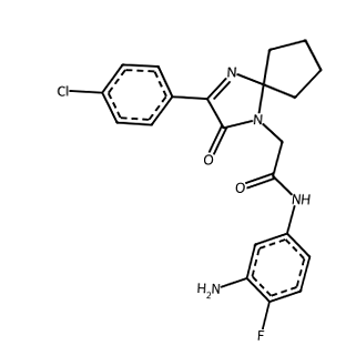 Nc1cc(NC(=O)CN2C(=O)C(c3ccc(Cl)cc3)=NC23CCCC3)ccc1F